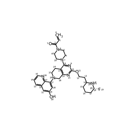 C=CC(=O)N1CCN(c2nc(OCCC3CCC[C@@H](F)N3)nc3c2CCN(c2cc(O)cc4cccnc24)C3)CC1